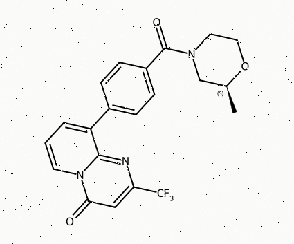 C[C@H]1CN(C(=O)c2ccc(-c3cccn4c(=O)cc(C(F)(F)F)nc34)cc2)CCO1